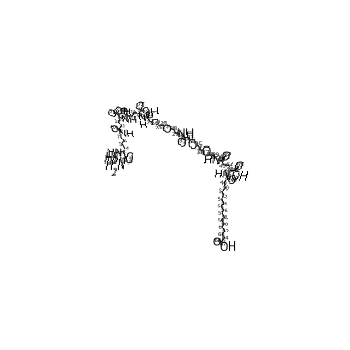 NC(=O)[C@H](CCCCNC(=O)CC[C@H](NC(=O)CC[C@H](NC(=O)COCCOCCNC(=O)COCCOCCNC(=O)CC[C@H](NC(=O)CCCCCCCCCCCCCCCCC(=O)O)C(=O)O)C(=O)O)C(=O)O)NS